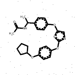 CC(=O)NC(C)c1ccc(Oc2cnc(Oc3ccc(OC4CCCC4)cc3)s2)cc1